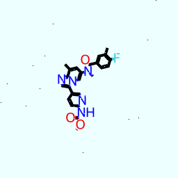 COC(=O)Nc1ccc(-c2cnc3c(C)cc(N(C)C(=O)c4ccc(F)c(C)c4)cn23)cn1